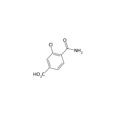 NC(=O)c1ccc(C(=O)O)cc1Cl